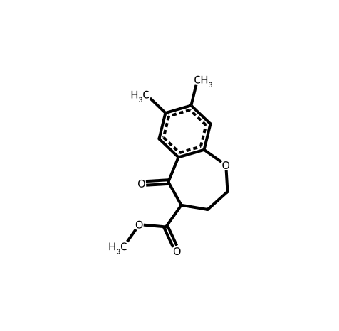 COC(=O)C1CCOc2cc(C)c(C)cc2C1=O